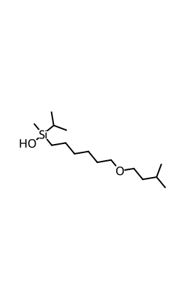 CC(C)CCOCCCCCC[Si](C)(O)C(C)C